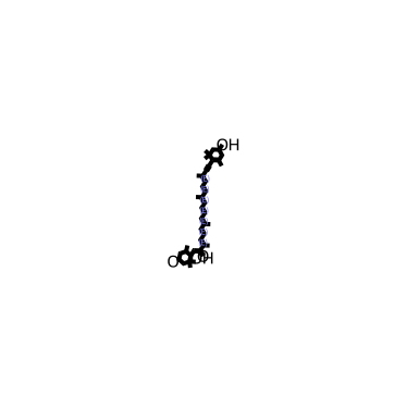 CC1=C(C#C/C(C)=C/C=C/C(C)=C/C=C/C=C(C)/C=C/C=C(\C)C(=O)CC2(O)C(C)CC(=O)CC2(C)C)C(C)(C)CC(O)C1